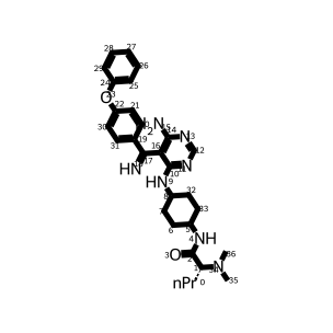 CCC[C@H](C(=O)NC1CCC(Nc2ncnc(N)c2C(=N)c2ccc(Oc3ccccc3)cc2)CC1)N(C)C